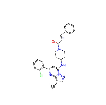 Bc1cnn2c(NC3CCN(C(=O)/C=C/c4ccccc4)CC3)cc(-c3ccccc3Cl)nc12